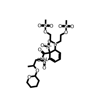 CC(CNC(=O)C1([N+](=O)[O-])C([N+](=O)[O-])=CC=CC1N(CCOS(C)(=O)=O)CCOS(C)(=O)=O)OC1CCCCO1